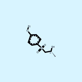 CCOc1ccc(S(=O)(=O)C[C@@H](C)S)cc1